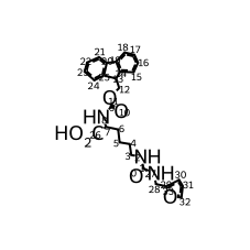 O=C(NCCCCC(NC(=O)OCC1c2ccccc2-c2ccccc21)C(=O)O)NCc1ccco1